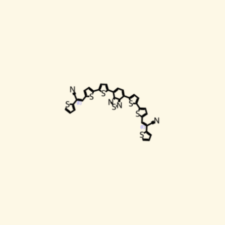 N#C/C(=C\c1ccc(-c2ccc(-c3ccc(-c4ccc(-c5ccc(/C=C(\C#N)c6cccs6)s5)s4)c4nsnc34)s2)s1)c1cccs1